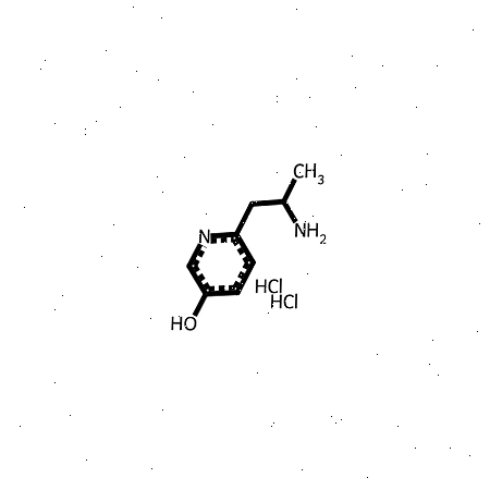 CC(N)Cc1ccc(O)cn1.Cl.Cl